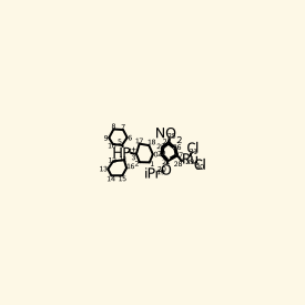 C1CCC([PH+](C2CCCCC2)C2CCCCC2)CC1.CC(C)Oc1ccc([N+](=O)[O-])cc1[CH]=[Ru]([Cl])[Cl]